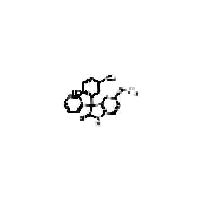 CC(C)(C)c1ccc(O)c(C2(c3ccccc3)C(=O)Nc3ccc(OC(F)(F)F)cc32)c1